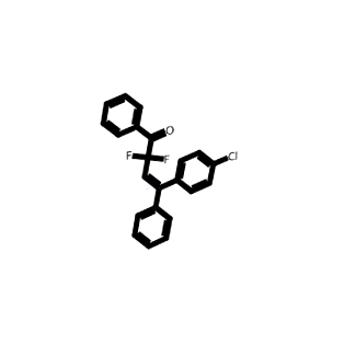 O=C(c1ccccc1)C(F)(F)/C=C(/c1ccccc1)c1ccc(Cl)cc1